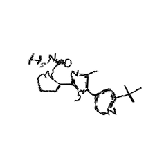 Cc1nc(C2CCCN2C(N)=O)sc1-c1ccnc(C(C)(C)C)c1